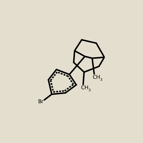 CC1CC2CCC(C1)C(c1ccc(Br)cc1)C2C